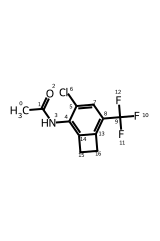 CC(=O)Nc1c(Cl)cc(C(F)(F)F)c2c1CC2